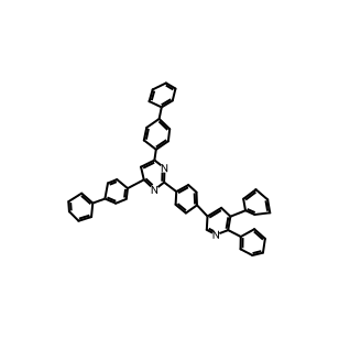 c1ccc(-c2ccc(-c3cc(-c4ccc(-c5ccccc5)cc4)nc(-c4ccc(-c5cnc(-c6ccccc6)c(-c6ccccc6)c5)cc4)n3)cc2)cc1